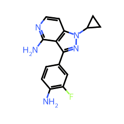 Nc1ccc(-c2nn(C3CC3)c3ccnc(N)c23)cc1F